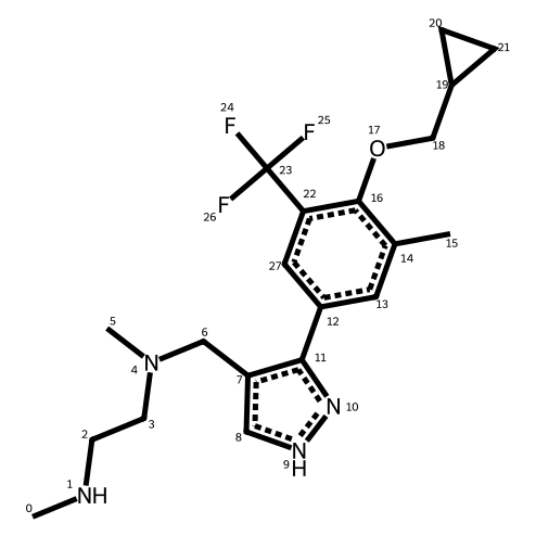 CNCCN(C)Cc1c[nH]nc1-c1cc(C)c(OCC2CC2)c(C(F)(F)F)c1